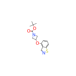 CC(C)(C)OC(=O)N1CC(Oc2cccc3sncc23)C1